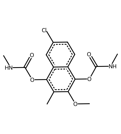 CNC(=O)Oc1c(C)c(OC)c(OC(=O)NC)c2ccc(Cl)cc12